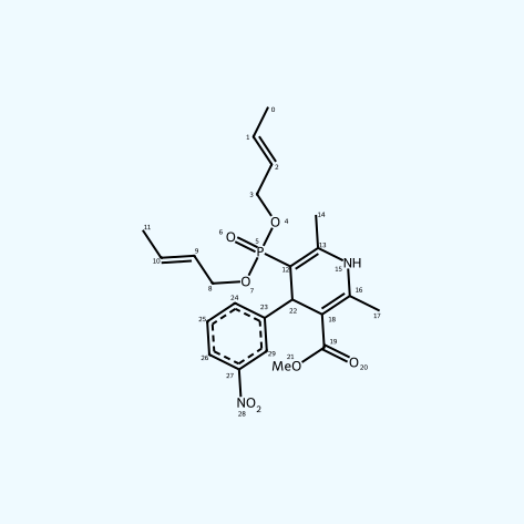 CC=CCOP(=O)(OCC=CC)C1=C(C)NC(C)=C(C(=O)OC)C1c1cccc([N+](=O)[O-])c1